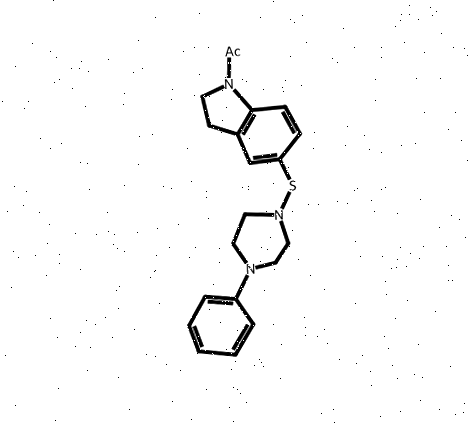 CC(=O)N1CCc2cc(SN3CCN(c4ccccc4)CC3)ccc21